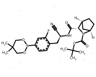 CC1(C)COB(c2ccc(C[C@@H](C#N)NC(=O)[C@@H]3[C@H]4CC[C@H](C4)N3C(=O)OC(C)(C)C)c(F)c2)OC1